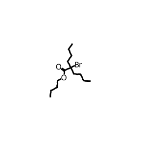 CCCCOC(=O)C(Br)(CCCC)CCCC